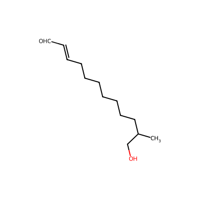 CC(CO)CCCCCCC/C=C/C=O